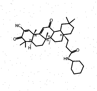 CC1(C)CC[C@]2(CCC(=O)NC3CCCCC3)CC[C@]3(C)C(C(=O)C=C4[C@@]5(C)C=C(C#N)C(=O)C(C)(C)[C@@H]5CC[C@]43C)C2C1